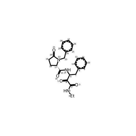 CCNC(=O)C(=O)C(Cc1ccccc1)NC(=O)[C@@H]1CCC(=O)N1Cc1ccccc1